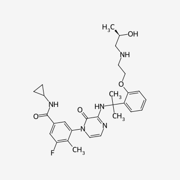 Cc1c(F)cc(C(=O)NC2CC2)cc1-n1ccnc(NC(C)(C)c2ccccc2OCCNC[C@@H](C)O)c1=O